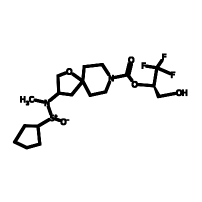 CN(C1COC2(CCN(C(=O)O[C@H](CO)C(F)(F)F)CC2)C1)[S+]([O-])C1CCCC1